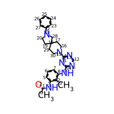 CC(=O)Nc1cccc(Nc2ncnc(N3CCC4(CCN(c5ccccc5)C4)CC3)n2)c1C